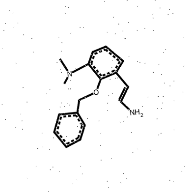 CN(C)c1cccc(/C=C/N)c1OCc1ccccc1